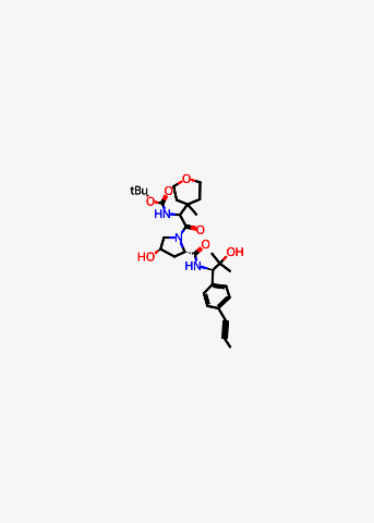 CC#Cc1ccc([C@@H](NC(=O)[C@@H]2C[C@@H](O)CN2C(=O)C(NC(=O)OC(C)(C)C)C2(C)CCOCC2)C(C)(C)O)cc1